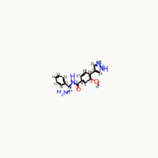 COc1cc(C(=O)N[C@H](CN)c2ccccc2)ccc1-c1cn[nH]c1